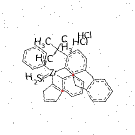 CC(C)(C)c1ccc2c([c]1[Zr](=[SiH2])([C]1=CC=CC1)([c]1ccccc1)[c]1ccccc1)Cc1ccccc1-2.Cl.Cl